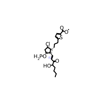 CCCCC(O)C(=O)/C=C/[C@@H]1[C@@H](CCCc2ccc(C(=O)OC)s2)[C@H](Cl)C[C@H]1OP